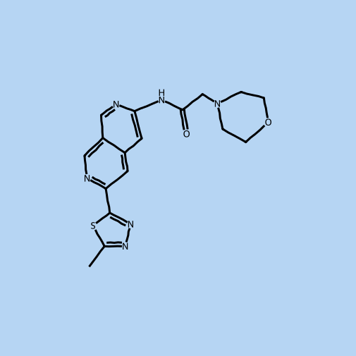 Cc1nnc(-c2cc3cc(NC(=O)CN4CCOCC4)ncc3cn2)s1